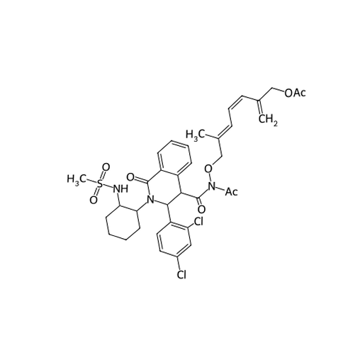 C=C(/C=C\C=C(/C)CON(C(C)=O)C(=O)C1c2ccccc2C(=O)N(C2CCCCC2NS(C)(=O)=O)C1c1ccc(Cl)cc1Cl)COC(C)=O